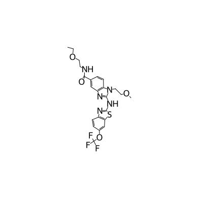 CCOCCNC(=O)c1ccc2c(c1)nc(Nc1nc3ccc(OC(F)(F)F)cc3s1)n2CCOC